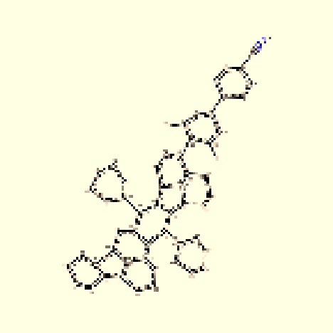 Cc1cc(-c2ccc(C#N)cc2)cc(C)c1-c1ccc2c3c(-c4ccccc4)c4cc5c6ccccc6c6cccc(c4c(-c4ccccc4)c3c3cccc1c23)c65